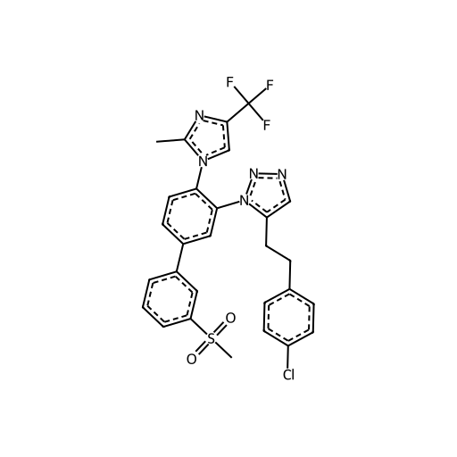 Cc1nc(C(F)(F)F)cn1-c1ccc(-c2cccc(S(C)(=O)=O)c2)cc1-n1nncc1CCc1ccc(Cl)cc1